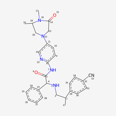 CC(CNC(C(=O)Nc1ccc(N2CC(=O)N(C)C(C)C2)cn1)c1ccccc1)c1ccc(C#N)cc1